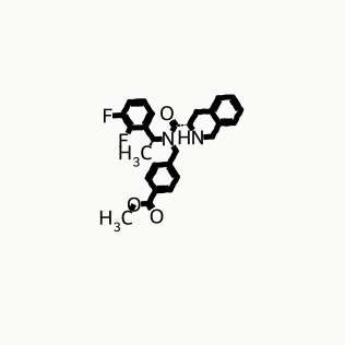 COC(=O)c1ccc(CN(C(=O)[C@@H]2Cc3ccccc3CN2)[C@H](C)c2cccc(F)c2F)cc1